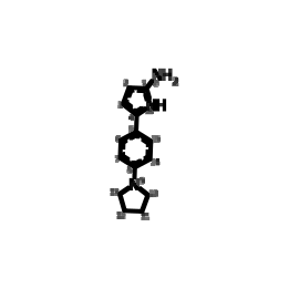 Nc1ccc(-c2ccc(N3CCCC3)cc2)[nH]1